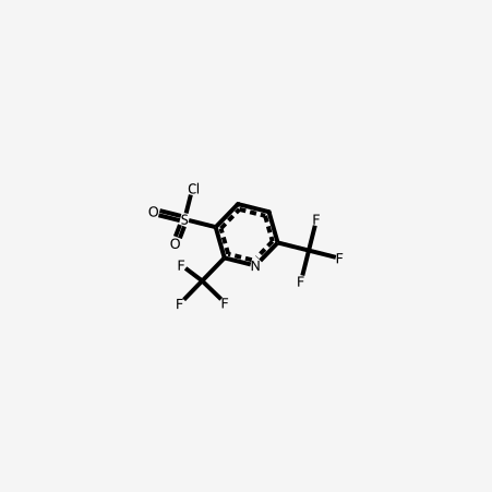 O=S(=O)(Cl)c1ccc(C(F)(F)F)nc1C(F)(F)F